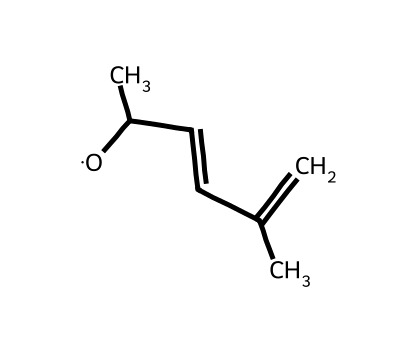 C=C(C)/C=C/C(C)[O]